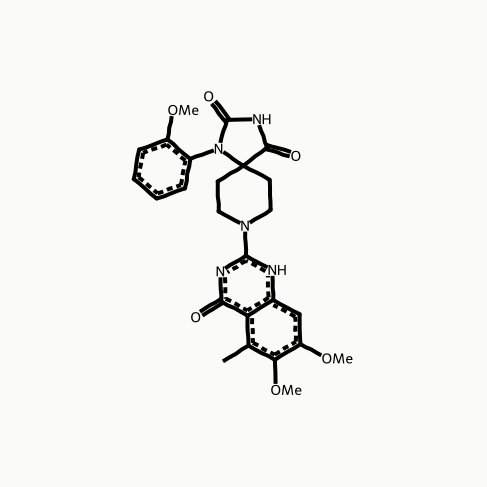 COc1ccccc1N1C(=O)NC(=O)C12CCN(c1nc(=O)c3c(C)c(OC)c(OC)cc3[nH]1)CC2